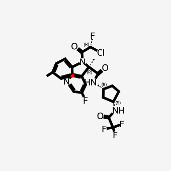 Cc1ccc(N(C(=O)[C@H](F)Cl)[C@@](C)(C(=O)N[C@@H]2CC[C@H](NC(=O)C(F)(F)F)C2)c2cncc(F)c2)cc1